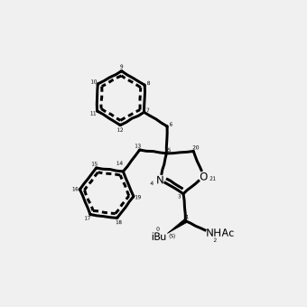 CC[C@H](C)C(NC(C)=O)C1=NC(Cc2ccccc2)(Cc2ccccc2)CO1